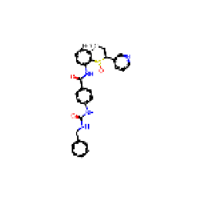 O=C(O)CC(c1cccnc1)[S+]([O-])c1ccccc1NC(=O)c1ccc(NC(=O)NCc2ccccc2)cc1